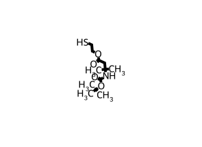 CC(C)(CC(=O)OCCS)NC(=O)OC(C)(C)C